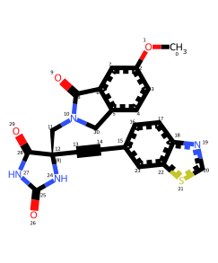 COc1ccc2c(c1)C(=O)N(C[C@@]1(C#Cc3ccc4ncsc4c3)NC(=O)NC1=O)C2